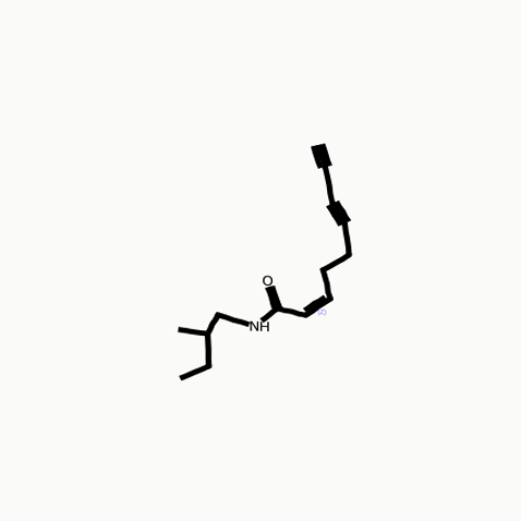 C#CC#CCC/C=C\C(=O)NCC(C)CC